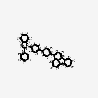 C1=CC(c2ccc(-n3c(-c4ccccc4)nc4ccccc43)cc2)CC=C1c1ccc2c3c(cccc13)-c1ccccc1-2